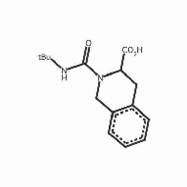 CC(C)(C)NC(=O)N1Cc2ccccc2CC1C(=O)O